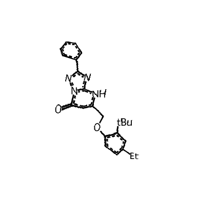 CCc1ccc(OCc2cc(=O)n3nc(-c4ccccc4)nc3[nH]2)c(C(C)(C)C)c1